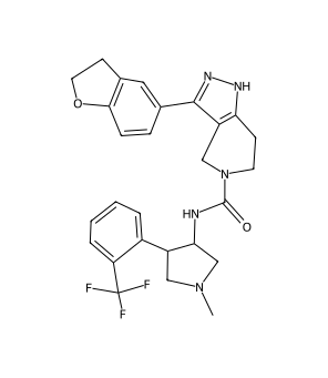 CN1CC(NC(=O)N2CCc3[nH]nc(-c4ccc5c(c4)CCO5)c3C2)C(c2ccccc2C(F)(F)F)C1